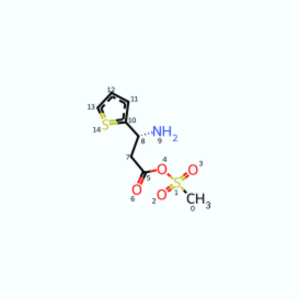 CS(=O)(=O)OC(=O)C[C@@H](N)c1cccs1